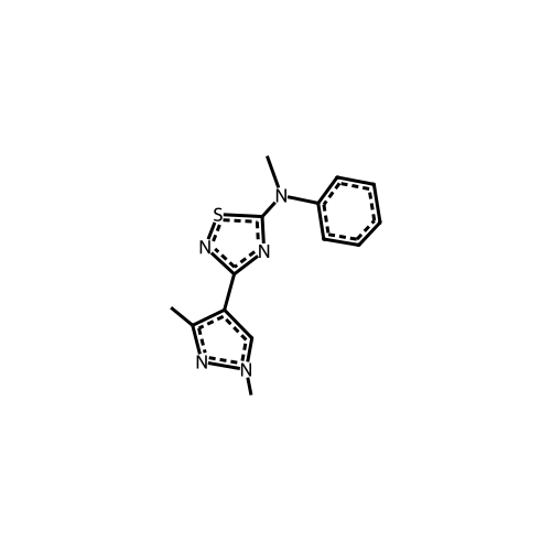 Cc1nn(C)cc1-c1nsc(N(C)c2ccccc2)n1